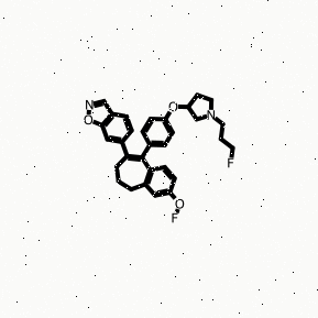 FCCCN1CCC(Oc2ccc(C3=C(c4ccc5cnoc5c4)CCCc4cc(OF)ccc43)cc2)C1